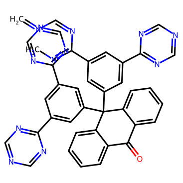 C=N/C=N\C(=N/C)c1cc(-c2ncncn2)cc(C2(c3cc(-c4ncncn4)cc(-c4ncncn4)c3)c3ccccc3C(=O)c3ccccc32)c1